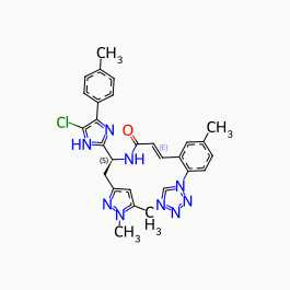 Cc1ccc(-c2nc([C@H](Cc3cc(C)n(C)n3)NC(=O)/C=C/c3cc(C)ccc3-n3cnnn3)[nH]c2Cl)cc1